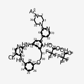 CC(=O)N1CCN(c2cc(-c3cc4cc(c3)Nc3ncc(Cl)c(n3)Nc3cccc(c3)OCC4)ccn2)CC1.O=C(O)C(F)(F)F.O=C(O)C(F)(F)F